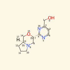 OCc1ccnc([C@@H]2CN3CCC[C@H]3CO2)n1